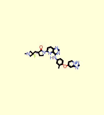 Cc1cc(Nc2ncnc3ccc(N4CC/C(=C\C5(F)CN(C)C5)C4=O)nc23)ccc1Oc1ccn2ncnc2c1